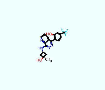 C[C@]1(O)C[C@@H](Nc2nnc(-c3ccc(C(F)(F)F)cc3O)c3cccnc23)C1